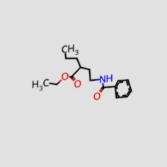 CCCC(CCNC(=O)c1ccccc1)C(=O)OCC